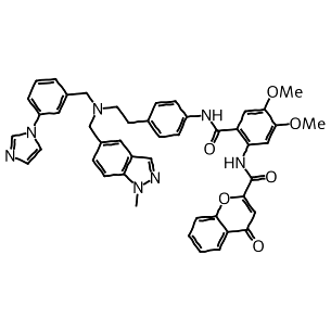 COc1cc(NC(=O)c2cc(=O)c3ccccc3o2)c(C(=O)Nc2ccc(CCN(Cc3cccc(-n4ccnc4)c3)Cc3ccc4c(cnn4C)c3)cc2)cc1OC